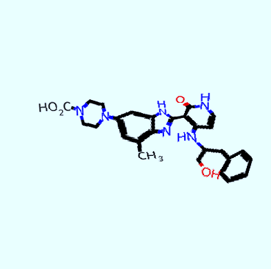 Cc1cc(N2CCN(C(=O)O)CC2)cc2[nH]c(-c3c(NC(CO)Cc4ccccc4)cc[nH]c3=O)nc12